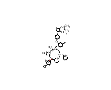 C[C@H]1CN[C@H](CO)CN(C)[C@@]2(Cc3ccc(Cl)cc3)CCCN(C[C@@H](Cc3ccccn3)CCN1Cc1ccc(Cl)cc1Oc1ccc(-c3cnc(CN(C)C)n3C)cc1)C2